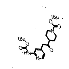 CC(C)(C)OC(=O)Nc1cc(CC(=O)C2CCN(C(=O)OC(C)(C)C)CC2)ccn1